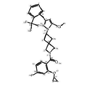 COc1cc(-c2ccccc2C(F)(F)F)nn1C1CC2(C1)CN(C(=O)c1ccc(F)cc1OC1CC1)C2